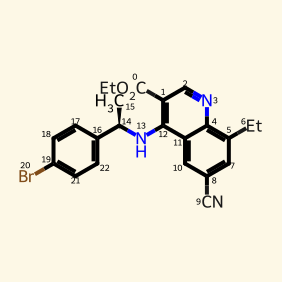 CCOC(=O)c1cnc2c(CC)cc(C#N)cc2c1N[C@H](C)c1ccc(Br)cc1